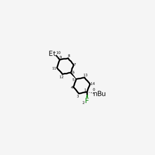 CCCC[C@]1(F)CC[C@@H](C2CCC(CC)CC2)CC1